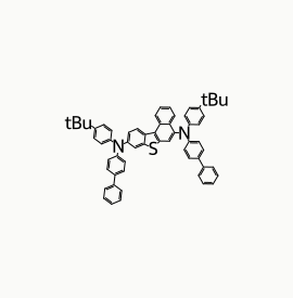 CC(C)(C)c1ccc(N(c2ccc(-c3ccccc3)cc2)c2ccc3c(c2)sc2cc(N(c4ccc(-c5ccccc5)cc4)c4ccc(C(C)(C)C)cc4)c4ccccc4c23)cc1